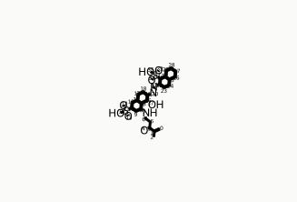 C=C(C)C(=O)CCNc1cc(S(=O)(=O)O)cc2ccc(/N=N/c3ccc4ccccc4c3S(=O)(=O)O)c(O)c12